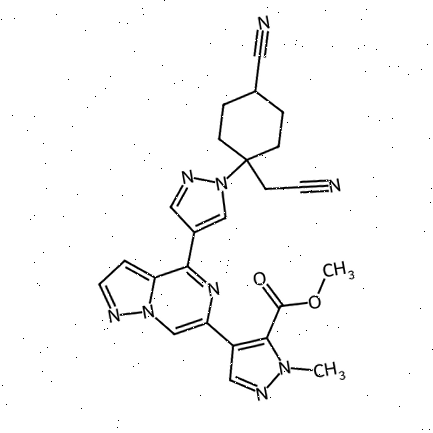 COC(=O)c1c(-c2cn3nccc3c(-c3cnn(C4(CC#N)CCC(C#N)CC4)c3)n2)cnn1C